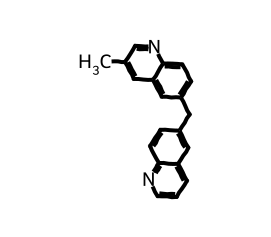 Cc1cnc2ccc(Cc3ccc4ncccc4c3)cc2c1